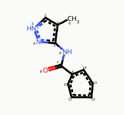 Cc1c[nH]nc1NC(=O)c1ccccc1